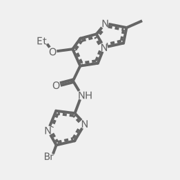 CCOc1cc2nc(C)cn2cc1C(=O)Nc1cnc(Br)cn1